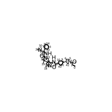 C=CC(=O)N1CCC(c2ccc(C(=O)Nc3nn(C)c4c3CN(C(=O)N[C@H](CN(C)C)c3ccccc3)C4(C)C)cc2)C1